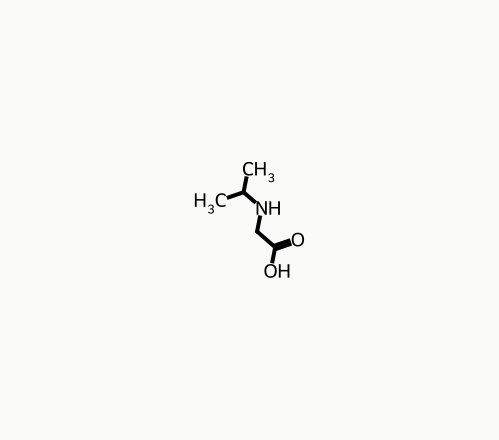 CC(C)NCC(=O)O